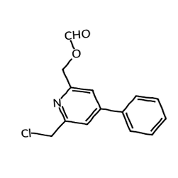 O=COCc1cc(-c2ccccc2)cc(CCl)n1